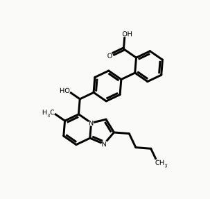 CCCCc1cn2c(C(O)c3ccc(-c4ccccc4C(=O)O)cc3)c(C)ccc2n1